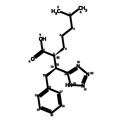 CC(C)CCC[C@@H](C(=O)O)[C@H](Cc1ccccc1)c1nnn[nH]1